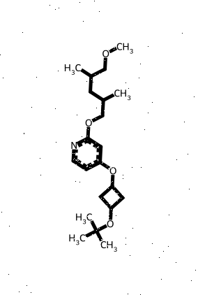 COCC(C)CC(C)COc1cc(OC2CC(OC(C)(C)C)C2)ccn1